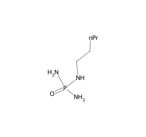 CCCCCNP(N)(N)=O